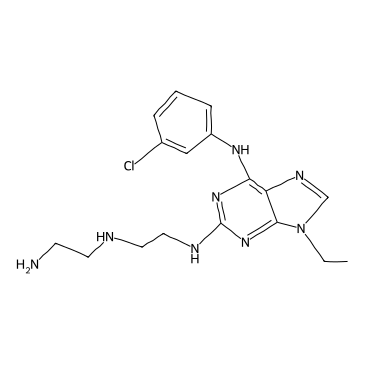 CCn1cnc2c(Nc3cccc(Cl)c3)nc(NCCNCCN)nc21